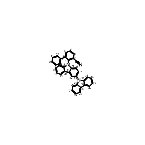 N#Cc1cccc(-c2ccccc2)c1-n1c2ccccc2c2cc(-n3c4ccccc4c4ccccc43)ccc21